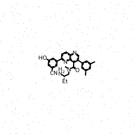 CC[C@H](N)CN(C)C(=O)c1c(-c2cc(C)cc(C)c2)cnc2ccc(-c3cc(O)cc(C#N)c3)nc12